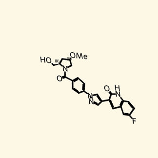 CO[C@@H]1C[C@H](CO)N(C(=O)c2ccc(-n3cc(-c4cc5cc(F)ccc5[nH]c4=O)cn3)cc2)C1